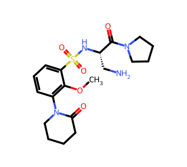 COc1c(N2CCCCC2=O)cccc1S(=O)(=O)N[C@@H](CN)C(=O)N1CCCC1